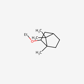 CCOC1CC2CCC1(C)C2(C)C